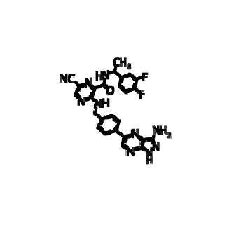 CC(NC(=O)c1nc(C#N)cnc1NCc1ccc(-c2cnc3[nH]nc(N)c3n2)cc1)c1ccc(F)c(F)c1